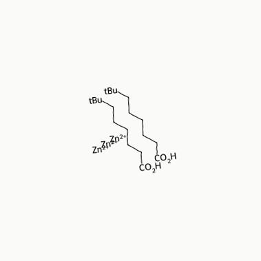 CC(C)(C)CCCCCC(=O)O.CC(C)(C)CCCCCC(=O)O.[Zn+2].[Zn+2].[Zn+2]